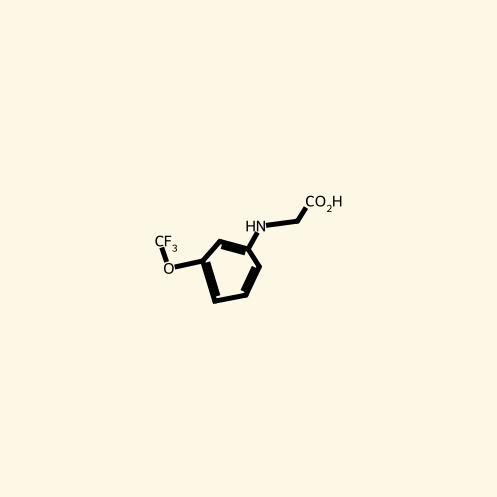 O=C(O)CNc1cccc(OC(F)(F)F)c1